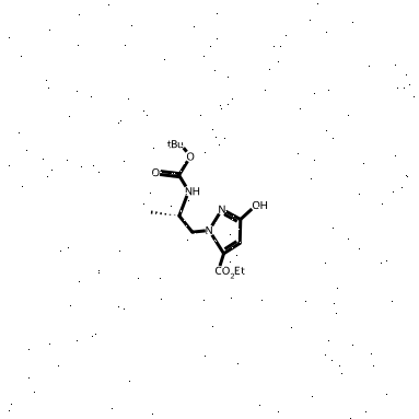 CCOC(=O)c1cc(O)nn1C[C@H](C)NC(=O)OC(C)(C)C